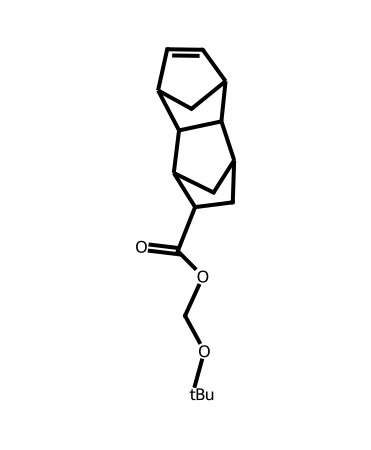 CC(C)(C)OCOC(=O)C1CC2CC1C1C3C=CC(C3)C21